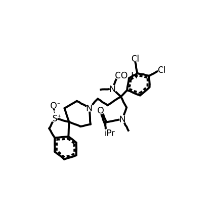 CC(C)C(=O)N(C)CC(CCN1CCC2(CC1)c1ccccc1C[S@+]2[O-])(c1ccc(Cl)c(Cl)c1)N(C)C(=O)O